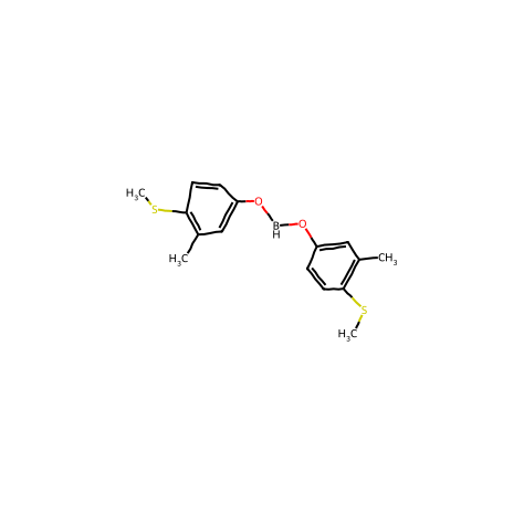 CSc1ccc(OBOc2ccc(SC)c(C)c2)cc1C